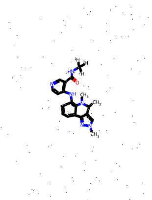 [2H]C([2H])([2H])NC(=O)c1cnccc1Nc1cccc2c1N(C)C(C)c1cn(C)nc1-2